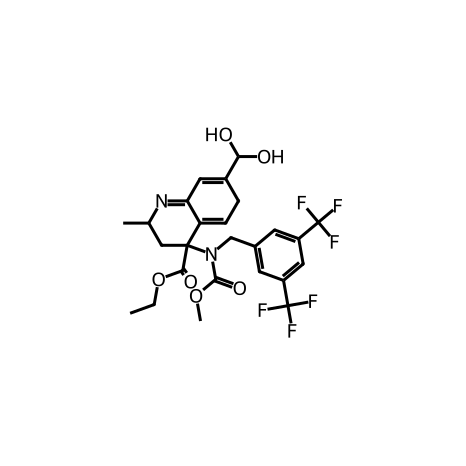 CCOC(=O)C1(N(Cc2cc(C(F)(F)F)cc(C(F)(F)F)c2)C(=O)OC)CC(C)N=C2C=C(C(O)O)CC=C21